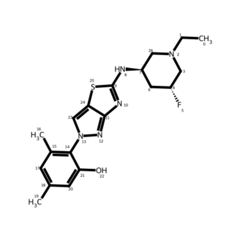 CCN1C[C@H](F)C[C@@H](Nc2nc3nn(-c4c(C)cc(C)cc4O)cc3s2)C1